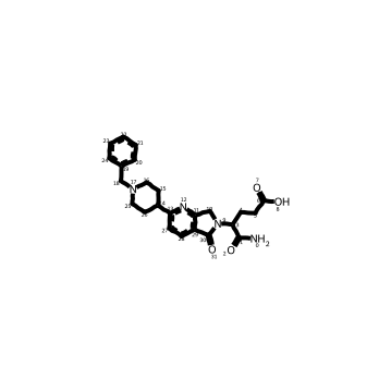 NC(=O)C(CCC(=O)O)N1Cc2nc(C3CCN(Cc4ccccc4)CC3)ccc2C1=O